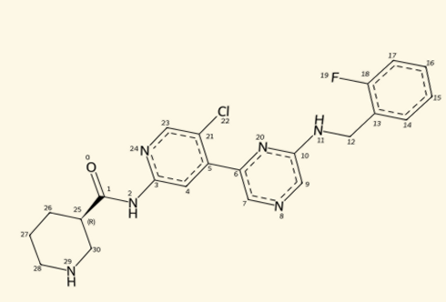 O=C(Nc1cc(-c2cncc(NCc3ccccc3F)n2)c(Cl)cn1)[C@@H]1CCCNC1